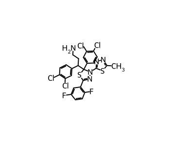 Cc1nnc(N2N=C(c3cc(F)ccc3F)SC2(c2ccc(Cl)c(Cl)c2)C(CCN)c2ccc(Cl)c(Cl)c2)s1